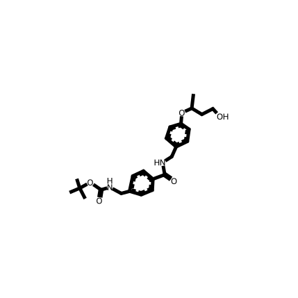 CC(CCO)Oc1ccc(CNC(=O)c2ccc(CNC(=O)OC(C)(C)C)cc2)cc1